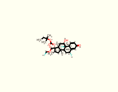 CCC(C)(C)OC(=O)O[C@@]1(C(=O)OCF)[C@H](C)C[C@H]2[C@@H]3C[C@H](F)C4=CC(=O)C=C[C@]4(C)C3(F)[C@@H](O)C[C@@]21C